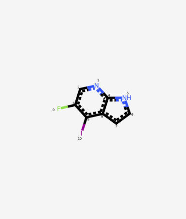 Fc1cnc2[nH]ccc2c1I